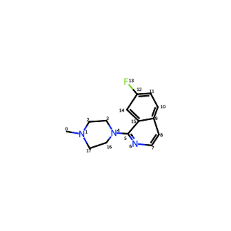 CN1CCN(c2nccc3ccc(F)cc23)CC1